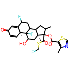 Cc1ncsc1C(=O)OC1(C(=O)SCF)C(C)CC2C3CC(F)C4=CC(=O)C=C[C@]4(C)C3(F)C(O)C[C@@]21C